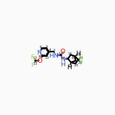 O=C(NCc1ccnc(OC(F)F)c1)NC1C[C@H]2C[C@@H]1CC2(F)F